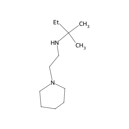 CCC(C)(C)NCCN1CCCCC1